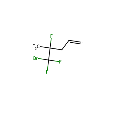 [CH]=CCC(F)(C(F)(F)F)C(F)(F)Br